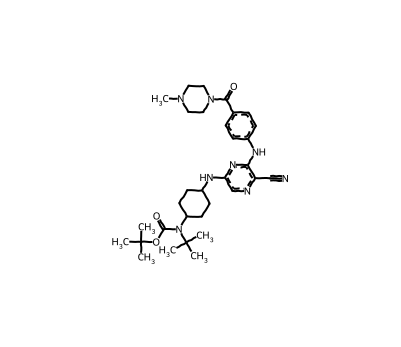 CN1CCN(C(=O)c2ccc(Nc3nc(NC4CCC(N(C(=O)OC(C)(C)C)C(C)(C)C)CC4)cnc3C#N)cc2)CC1